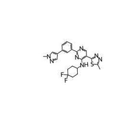 Cc1nnc(-c2cnc(-c3cccc(-c4cnn(C)c4)c3)nc2NC2CCC(F)(F)CC2)s1